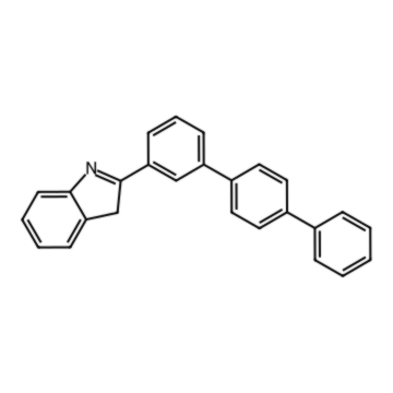 c1ccc(-c2ccc(-c3cccc(C4=Nc5ccccc5C4)c3)cc2)cc1